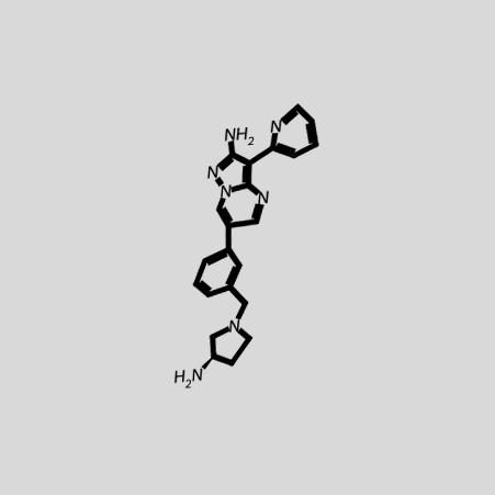 Nc1nn2cc(-c3cccc(CN4CC[C@@H](N)C4)c3)cnc2c1-c1ccccn1